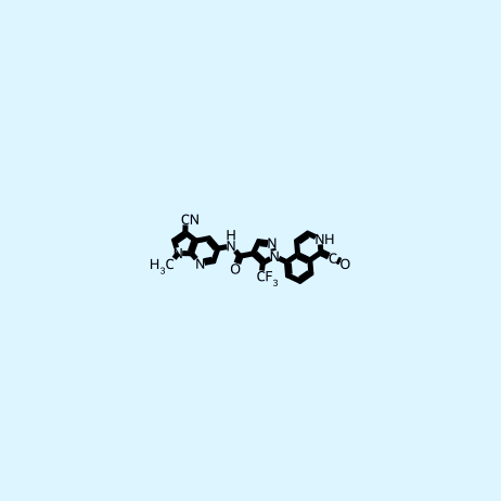 Cn1cc(C#N)c2cc(NC(=O)c3cnn(-c4cccc5c4C=CNC5=C=O)c3C(F)(F)F)cnc21